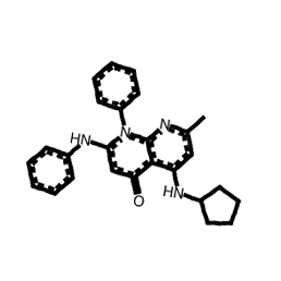 Cc1cc(NC2CCCC2)c2c(=O)cc(Nc3ccccc3)n(-c3ccccc3)c2n1